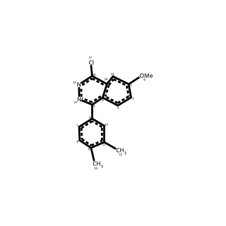 COc1ccc2c(-c3ccc(C)c(C)c3)nnc(Cl)c2c1